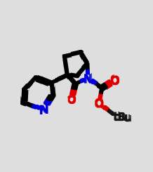 CC(C)(C)OC(=O)N1C(=O)C2(c3cccnc3)CCC1C2